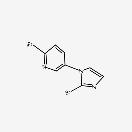 CC(C)c1ccc(-n2ccnc2Br)cn1